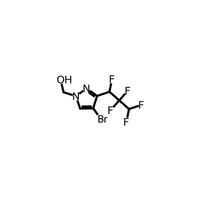 OCn1cc(Br)c(C(F)C(F)(F)C(F)F)n1